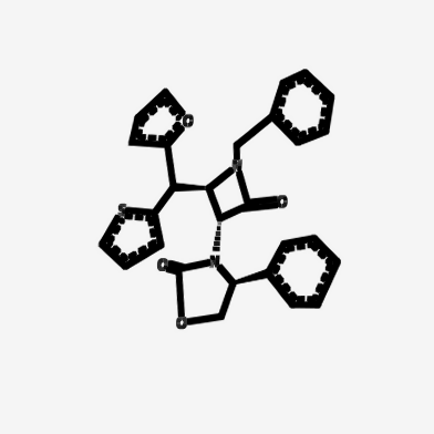 O=C1[C@H](N2C(=O)OC[C@@H]2c2ccccc2)[C@@H](C(c2ccco2)c2cccs2)N1Cc1ccccc1